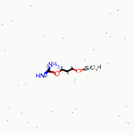 N=C(N)OCCCOS(=O)(=O)O